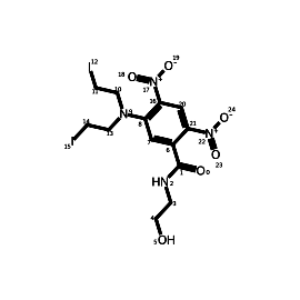 O=C(NCCO)c1cc(N(CCI)CCI)c([N+](=O)[O-])cc1[N+](=O)[O-]